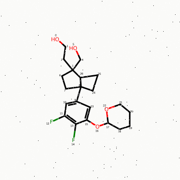 OCCC1(CO)CCC2(c3cc(F)c(F)c(OC4CCCCO4)c3)CCC12